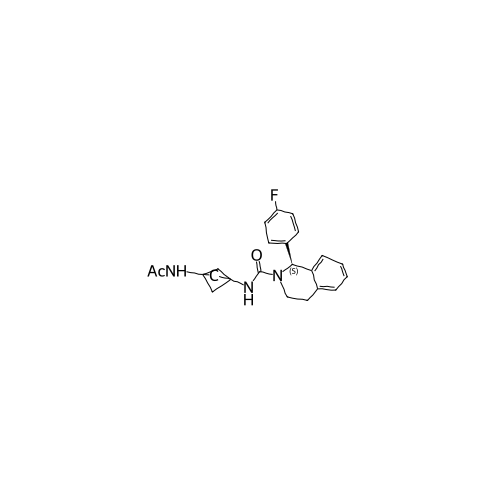 CC(=O)NC12CC(NC(=O)N3CCc4ccccc4[C@@H]3c3ccc(F)cc3)(C1)C2